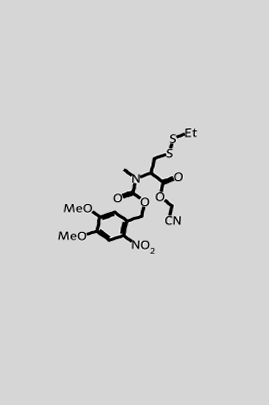 CCSSCC(C(=O)OCC#N)N(C)C(=O)OCc1cc(OC)c(OC)cc1[N+](=O)[O-]